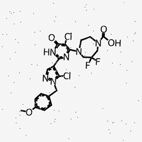 COc1ccc(Cn2ncc(-c3nc(N4CCN(C(=O)O)CC(F)(F)C4)c(Cl)c(=O)[nH]3)c2Cl)cc1